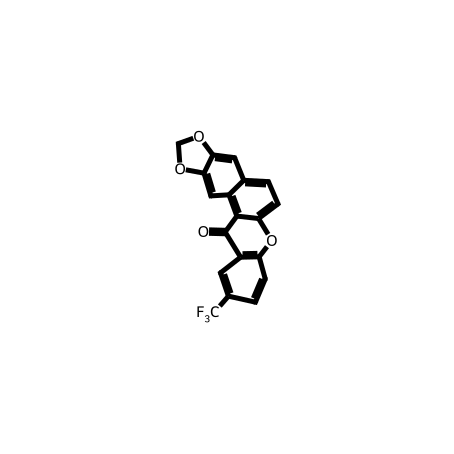 O=c1c2cc(C(F)(F)F)ccc2oc2ccc3cc4c(cc3c12)OCO4